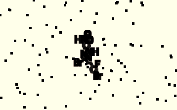 O=c1[nH]c2ccc(Nc3ncc(Br)c(CCc4ccc(Br)cc4F)n3)cc2o1